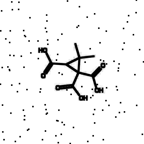 CC1(C)C(C(=O)O)C1(C(=O)O)C(=O)O